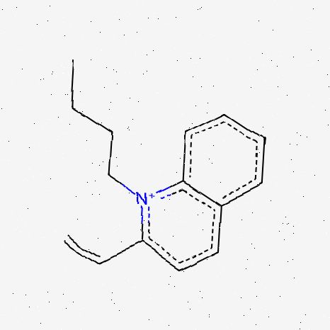 C=Cc1ccc2ccccc2[n+]1CCCC